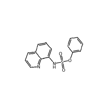 O=S(=O)(Nc1cccc2cccnc12)Oc1ccccc1